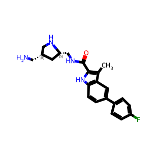 Cc1c(C(=O)NC[C@@H]2C[C@H](CN)CN2)[nH]c2ccc(-c3ccc(F)cc3)cc12